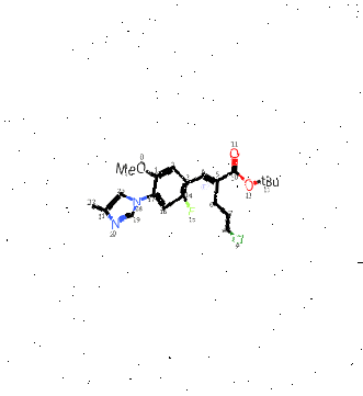 COc1cc(/C=C(\CCCCl)C(=O)OC(C)(C)C)c(F)cc1-n1cnc(C)c1